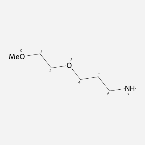 COCCOCCC[NH]